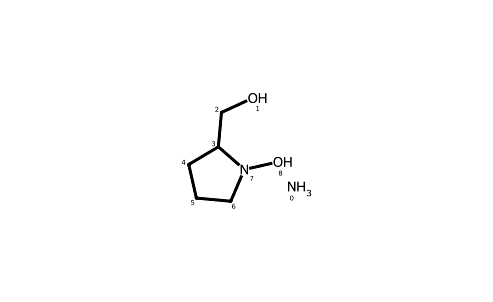 N.OCC1CCCN1O